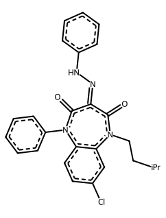 CC(C)CCn1c(=O)c(=NNc2ccccc2)c(=O)n(-c2ccccc2)c2ccc(Cl)cc21